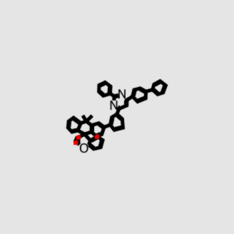 CC1(C)c2ccccc2C2(c3ccccc3Oc3ccccc32)c2ccc(-c3cccc(-c4cc(-c5ccc(-c6ccccc6)cc5)nc(-c5ccccc5)n4)c3)cc21